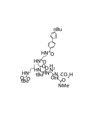 CCCCc1ccc(-c2ccc(C(=O)NCCC(=O)N[C@@H](CCCCNC(=O)OC(C)(C)C)C(=O)N[C@H](C(=O)N[C@@H](N)C(=O)N[C@@H](CC(=O)NC)C(=O)O)C(C)(C)C)cc2)cc1